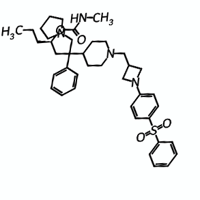 CCC[C@H](CC(CN1CCCC1)(c1ccccc1)C1CCN(CC2CN(c3ccc(S(=O)(=O)c4ccccc4)cc3)C2)CC1)OC(=O)NC